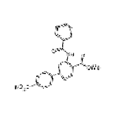 COC(=O)c1ccc(-c2ccc(C(=O)O)cc2)cc1NC(=O)c1ccccc1